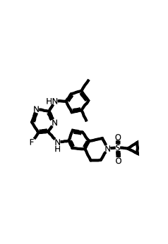 Cc1cc(C)cc(Nc2ncc(F)c(Nc3ccc4c(c3)CCN(S(=O)(=O)C3CC3)C4)n2)c1